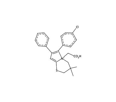 CC1(C)CSC2=CC(c3ccccc3)=C(c3ccc(Cl)cc3)[N+]2(CC(=O)O)C1